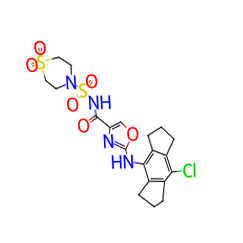 O=C(NS(=O)(=O)N1CCS(=O)(=O)CC1)c1coc(Nc2c3c(c(Cl)c4c2CCC4)CCC3)n1